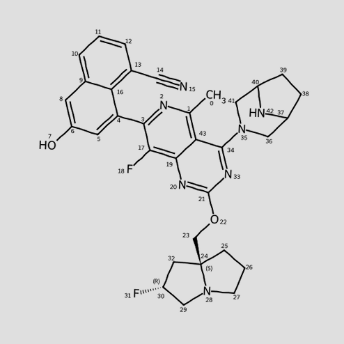 Cc1nc(-c2cc(O)cc3cccc(C#N)c23)c(F)c2nc(OC[C@@]34CCCN3C[C@H](F)C4)nc(N3CC4CCC(C3)N4)c12